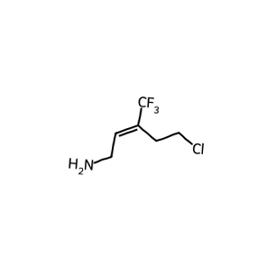 NC/C=C(\CCCl)C(F)(F)F